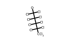 [O]C(Cl)(Cl)C(Cl)(Cl)C(Cl)(Cl)C(Cl)(Cl)C(Cl)(Cl)Cl